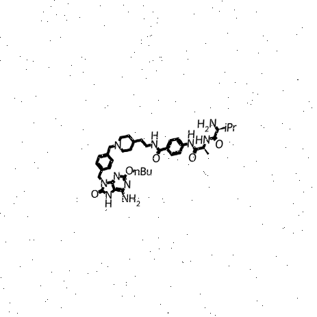 CCCCOc1nc(N)c2[nH]c(=O)n(Cc3ccc(CN4CCC(CCNC(=O)c5ccc(NC(=O)[C@H](C)NC(=O)[C@@H](N)C(C)C)cc5)CC4)cc3)c2n1